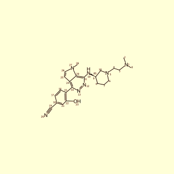 CN(C)CCN1CCC[C@@H](Nc2nnc(-c3ccc(C#N)cc3O)c3ccn(C)c23)C1